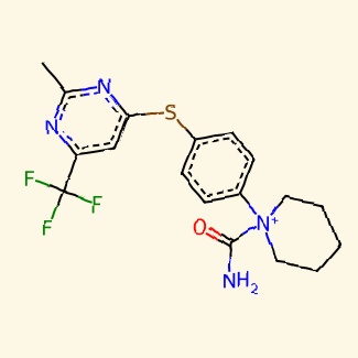 Cc1nc(Sc2ccc([N+]3(C(N)=O)CCCCC3)cc2)cc(C(F)(F)F)n1